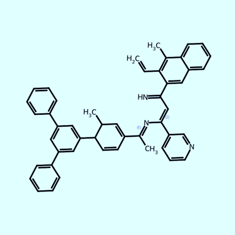 C=Cc1c(C(=N)/C=C(\N=C(/C)C2=CC(C)C(c3cc(-c4ccccc4)cc(-c4ccccc4)c3)C=C2)c2cccnc2)cc2ccccc2c1C